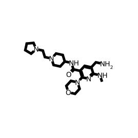 CNc1nc(N2CCOCC2)c(C(=O)NC2CCN(CCN3CCCC3)CC2)cc1CN